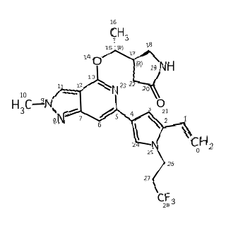 C=Cc1cc(-c2cc3nn(C)cc3c(O[C@H](C)[C@H]3CNC(=O)C3)n2)cn1CCC(F)(F)F